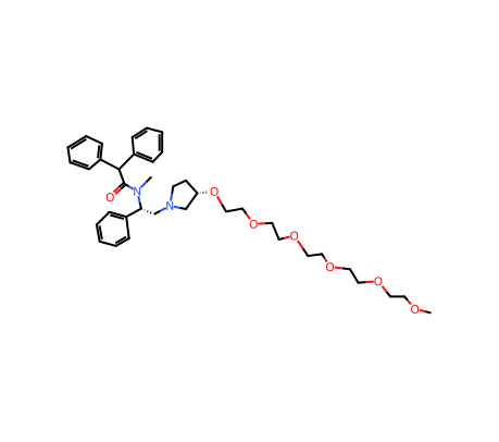 COCCOCCOCCOCCOCCO[C@H]1CCN(C[C@H](c2ccccc2)N(C)C(=O)C(c2ccccc2)c2ccccc2)C1